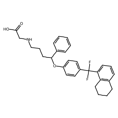 O=C(O)CNCCCC(Oc1ccc(C(F)(F)c2cccc3c2CCCC3)cc1)c1ccccc1